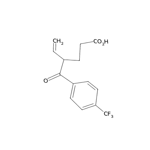 C=CC(CCC(=O)O)C(=O)c1ccc(C(F)(F)F)cc1